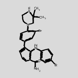 CC1(C)CN(c2ccc(-c3cccc(C(N)=O)c3Nc3ccc(Br)cc3)cc2Br)CCN1